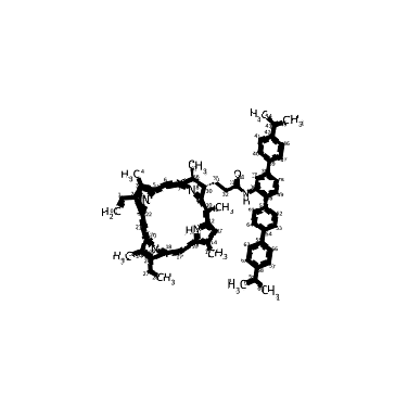 C=Cc1c(C)c2cc3nc(c(C)c4cc(C)c(cc5nc(cc1[nH]2)C(C)=C5CC)[nH]4)[C@@H](CCC(=O)Nc1cc(-c2ccc(C(C)C)cc2)ccc1-c1ccc(-c2ccc(C(C)C)cc2)cc1)[C@@H]3C